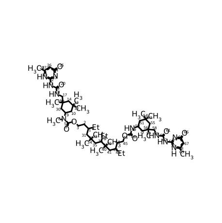 CCC(CCOC(=O)N(C)C1CC(C)(C)CC(C)(CNC(=O)Nc2nc(=O)cc(C)[nH]2)C1)CC(C)(C)CC(CC)C(C)(C)CC(CC)CCOC(=O)NC1CC(C)(C)CC(C)(CNC(=O)Nc2nc(=O)cc(C)[nH]2)C1